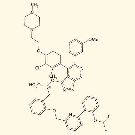 COc1cccc(-c2ncc3snc(O[C@H](Cc4ccccc4OCc4ccnc(-c5ccccc5OC(F)F)n4)C(=O)O)c3c2C2=C(C)C(Cl)=C(OCCN3CCN(C)CC3)CC2)c1